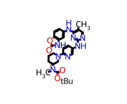 Cc1cnc(Nc2ccc(N3CCC[C@@H](N(C)C(=O)OC(C)(C)C)C3)nc2)nc1Nc1ccc2oc(=O)[nH]c2c1